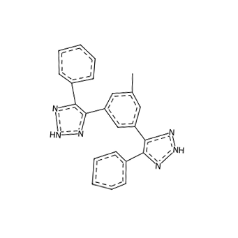 Cc1cc(-c2n[nH]nc2-c2ccccc2)cc(-c2n[nH]nc2-c2ccccc2)c1